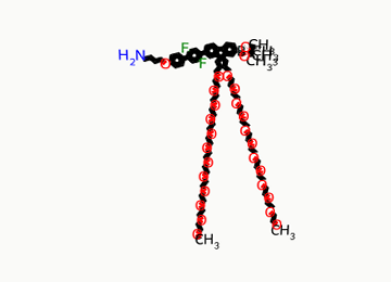 COCCOCCOCCOCCOCCOCCOCCOCCOCCOCCOCCOCCCC1(CCCOCCOCCOCCOCCOCCOCCOCCOCCOCCOCCOCCOC)c2cc(B3OC(C)(C)C(C)(C)O3)ccc2-c2ccc(-c3cc(F)c(-c4ccc(OCCCCN)cc4)cc3F)cc21